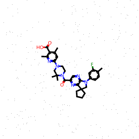 Cc1ccc(N2CC3(CCCC3)c3nc(C(=O)N4CCN(c5cc(C)c(C(=O)O)c(C)n5)CC4(C)C)cnc32)cc1F